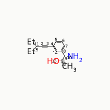 CCC(C#Cc1cccc(C(N)C(C)O)c1)CC